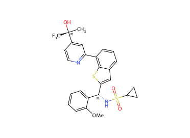 COc1ccccc1[C@@H](NS(=O)(=O)C1CC1)c1cc2cccc(-c3cc([C@@](C)(O)C(F)(F)F)ccn3)c2s1